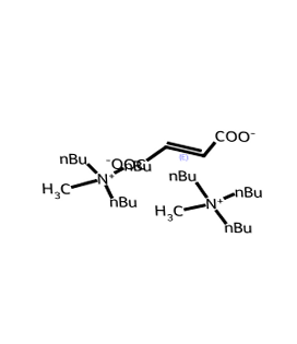 CCCC[N+](C)(CCCC)CCCC.CCCC[N+](C)(CCCC)CCCC.O=C([O-])/C=C/C(=O)[O-]